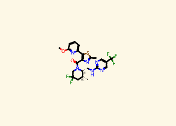 COc1cccc(-c2sc(C)nc2C(=O)N2CC(F)(F)C[C@@H](C)[C@H]2CNc2ncc(C(F)(F)F)cn2)n1